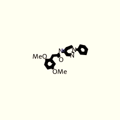 COc1ccc(OC)c(CC(=O)/N=c2/ccn(-c3ccccc3)nc2)c1